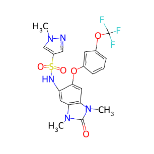 Cn1cc(S(=O)(=O)Nc2cc3c(cc2Oc2cccc(OC(F)(F)F)c2)n(C)c(=O)n3C)cn1